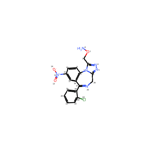 NOCc1nnc2n1-c1ccc([N+](=O)[O-])cc1C(c1ccccc1Cl)=NC2